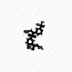 CCN(c1cccc(C(F)(F)F)c1)S(=O)(=O)c1ccc(C)c(C(=O)OC)c1